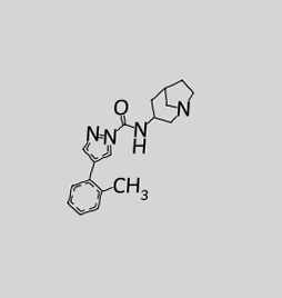 Cc1ccccc1-c1cnn(C(=O)NC2CC3CCN(C3)C2)c1